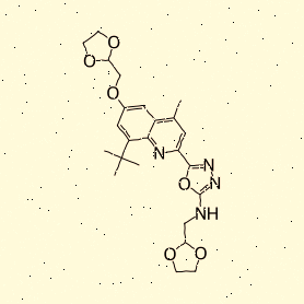 Cc1cc(-c2nnc(NCC3OCCO3)o2)nc2c(C(C)(C)C)cc(OCC3OCCO3)cc12